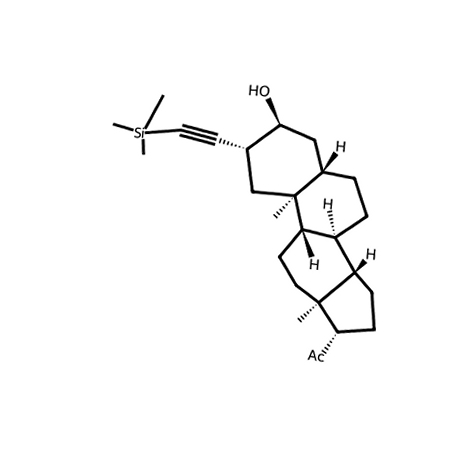 CC(=O)[C@H]1CC[C@H]2[C@@H]3CC[C@H]4C[C@H](O)[C@@H](C#C[Si](C)(C)C)C[C@]4(C)[C@H]3CC[C@]12C